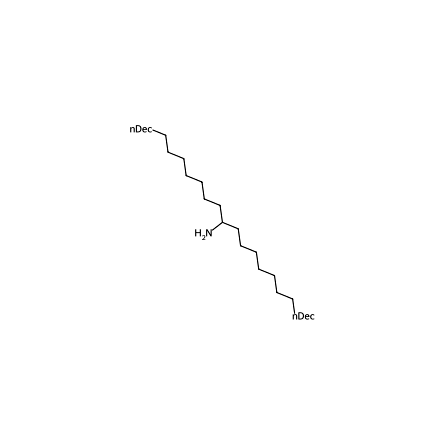 CCCCCCCCCCCCCCCCCC(N)CCCCCCCCCCCCCCCCC